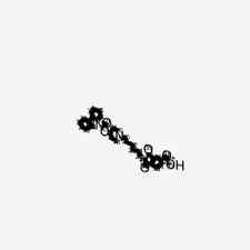 O=C(Nc1ccccc1-c1ccccc1)OC1CCN(CCCCCCN2C(=O)c3ccc([N+](=O)O)cc3C2=O)CC1